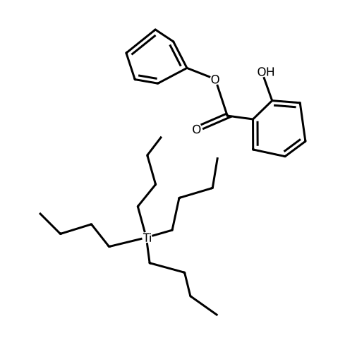 CCC[CH2][Ti]([CH2]CCC)([CH2]CCC)[CH2]CCC.O=C(Oc1ccccc1)c1ccccc1O